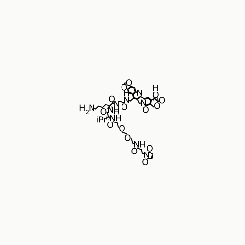 CC(C)[C@H](NC(=O)CCOCCOCCNC(=O)CCN1C(=O)C=CC1=O)C(=O)N[C@@H](CCCCN)C(=O)NCC(=O)NCc1c2c(nc3cc4c(cc13)OCO4)-c1cc3c(c(=O)n1C2)COC(=O)[C@H]3O